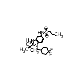 CCCS(=O)(=O)Nc1ccc2c(c1)nc(C(C)(C)C)n2CC1CCC(F)(F)CC1